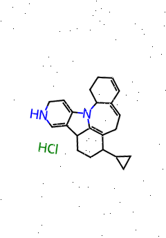 C1=CC2=CCC3=C4C(CCC3C3CC3)C3=CNCC=C3N4C2CC1.Cl